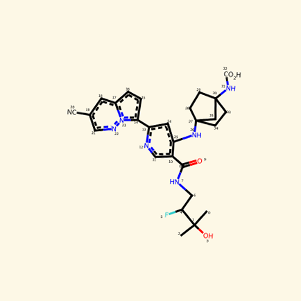 CC(C)(O)C(F)CNC(=O)c1cnc(-c2ccc3cc(C#N)cnn23)cc1NC12CCC(NC(=O)O)(CC1)C2